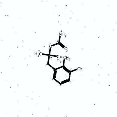 Cc1c(Cl)cccc1CC(C)(C)OC(N)=O